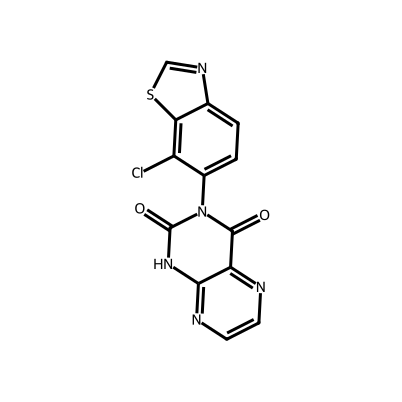 O=c1[nH]c2nccnc2c(=O)n1-c1ccc2ncsc2c1Cl